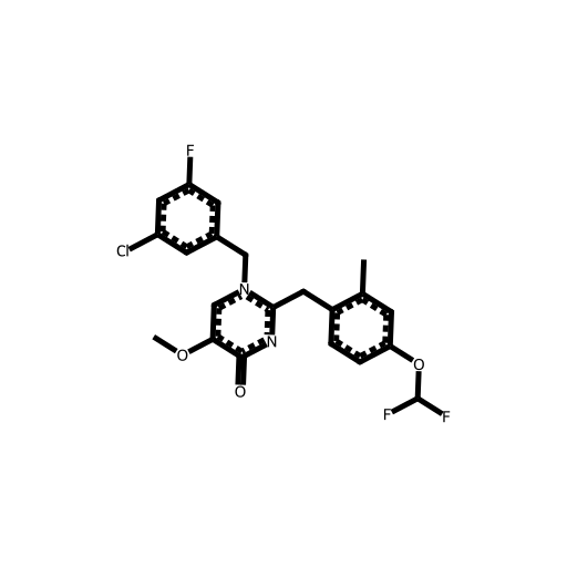 COc1cn(Cc2cc(F)cc(Cl)c2)c(Cc2ccc(OC(F)F)cc2C)nc1=O